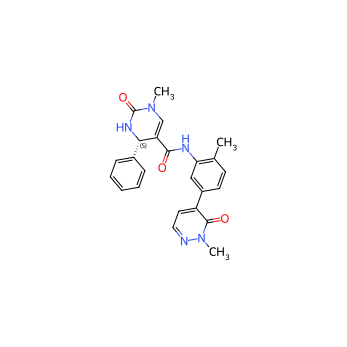 Cc1ccc(-c2ccnn(C)c2=O)cc1NC(=O)C1=CN(C)C(=O)N[C@H]1c1ccccc1